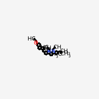 C#CCOc1ccc2c3c(ccc2c1)C(Cc1ccc2c4ccc5c6ccc(CC(C)(C)C)cc6n(CC#C)c5c4n(CC#C)c2c1)C(C)(C)C3